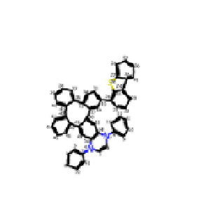 c1ccc(-n2ccn(-c3ccccc3)c3cc4c5cc(-c6cccc7c6sc6ccccc67)ccc5c5ccccc5c5ccccc5c4cc32)cc1